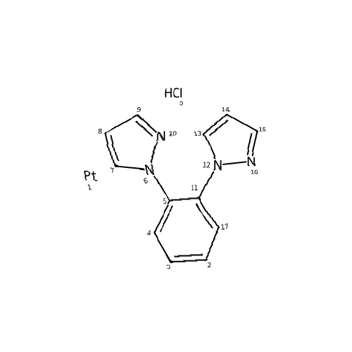 Cl.[Pt].c1ccc(-n2cccn2)c(-n2cccn2)c1